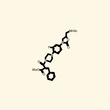 COC(=O)/C(=C\c1ccccc1)C(=O)N1CCN(c2ccc(N3CC(CNC(C)=O)OC3=O)cc2F)CC1